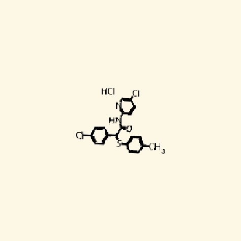 Cc1ccc(SC(C(=O)Nc2ccc(Cl)cn2)c2ccc(Cl)cc2)cc1.Cl